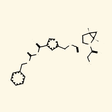 C[C@@]12C[C@@H]1N(C(=O)CN)[C@H](C(=O)NCc1cc(C(=N)NC(=O)OCc3ccccc3)cs1)C2